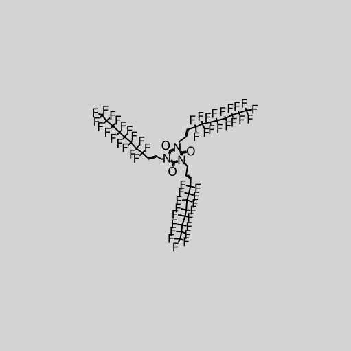 O=c1n(C/C=C/C(F)(F)C(F)(F)C(F)(F)C(F)(F)C(F)(F)C(F)(F)C(F)(F)C(F)(F)F)c(=O)n(C/C=C/C(F)(F)C(F)(F)C(F)(F)C(F)(F)C(F)(F)C(F)(F)C(F)(F)C(F)(F)F)c(=O)n1C/C=C/C(F)(F)C(F)(F)C(F)(F)C(F)(F)C(F)(F)C(F)(F)C(F)(F)C(F)(F)F